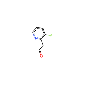 O=CCc1ncccc1F